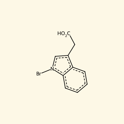 O=C(O)Cc1cn(Br)c2ccccc12